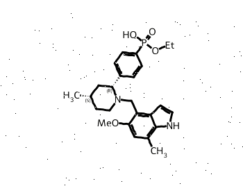 CCOP(=O)(O)c1ccc([C@H]2C[C@@H](C)CCN2Cc2c(OC)cc(C)c3[nH]ccc23)cc1